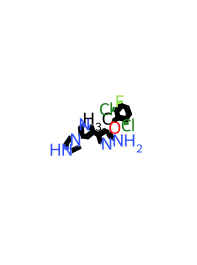 CC(Oc1cc(-c2cncc(N3CCNCC3)c2)cnc1N)c1c(Cl)ccc(F)c1Cl